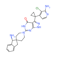 Nc1nccc(C2(c3n[nH]c4nc(N5CCC6(CC5)Cc5ccccc5[C@H]6N)[nH]c(=O)c34)CC2)c1Cl